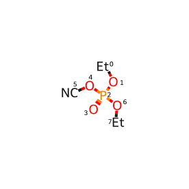 CCOP(=O)(OC#N)OCC